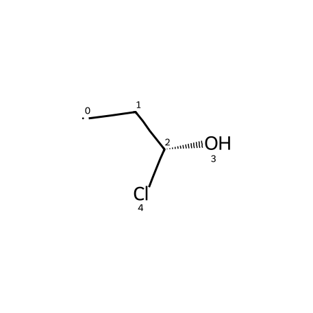 [CH2]C[C@H](O)Cl